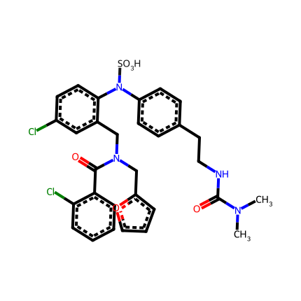 CN(C)C(=O)NCCc1ccc(N(c2ccc(Cl)cc2CN(Cc2ccco2)C(=O)c2ccccc2Cl)S(=O)(=O)O)cc1